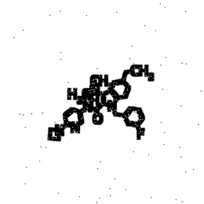 CCc1ccc2c(c1)c([SiH](C)C)c(C(=O)Nc1ccc(N3CCC3)nc1)n2Cc1cccc(F)c1